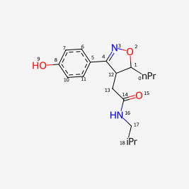 CCCC1ON=C(c2ccc(O)cc2)C1CC(=O)NCC(C)C